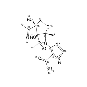 CC(=O)[C@@]1(O)[C@@](C)(Oc2nc[nH]c2C(N)=O)OC[C@@]1(O)C(C)=O